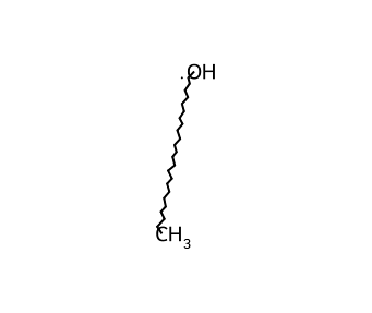 CCCCCCCCCCCCCCCCCCCCCCC[CH]O